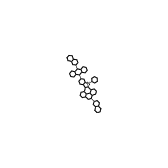 c1ccc(-n2c3cc(-c4c5ccccc5c(-c5ccc6ccccc6c5)c5ccccc45)ccc3c3c4cccc5cc(-c6ccc7ccccc7c6)c6cccc(c6c54)c32)cc1